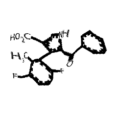 Cc1c(F)ccc(F)c1-c1c(C(=O)O)c[nH]c1C(=O)c1ccccc1